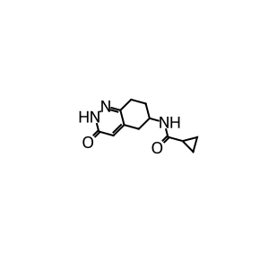 O=C(NC1CCc2n[nH]c(=O)cc2C1)C1CC1